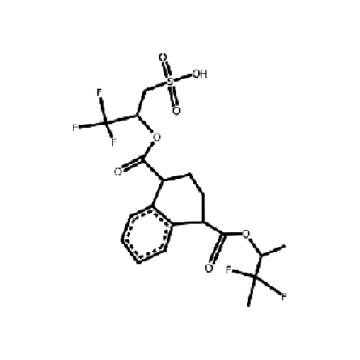 CC(OC(=O)C1CCC(C(=O)OC(CS(=O)(=O)O)C(F)(F)F)c2ccccc21)C(C)(F)F